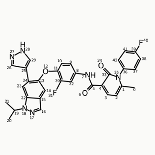 Cc1ccc(C(=O)Nc2ccc(Oc3cc4cnn(C(C)C)c4cc3-c3cn[nH]c3)c(F)c2)c(=O)n1-c1ccc(F)cc1